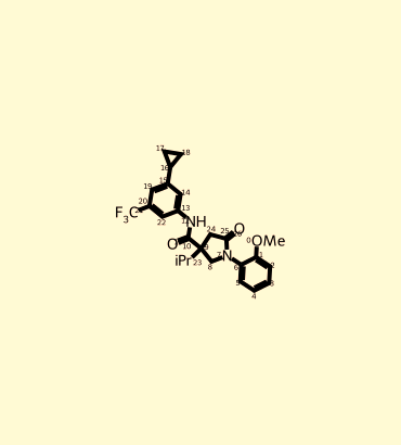 COc1ccccc1N1CC(C(=O)Nc2cc(C3CC3)cc(C(F)(F)F)c2)(C(C)C)CC1=O